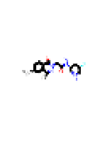 CC(C)c1nn(CC(=O)N[C@H]2CNC[C@H](F)C2)c(=O)c2ccc(C(F)(F)F)cc12